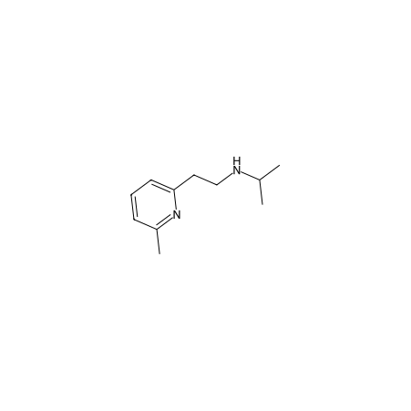 Cc1cccc(CCNC(C)C)n1